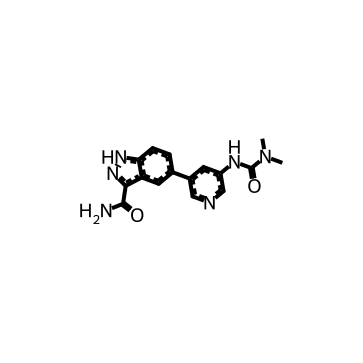 CN(C)C(=O)Nc1cncc(-c2ccc3[nH]nc(C(N)=O)c3c2)c1